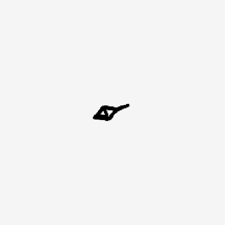 CC1C2=CC21